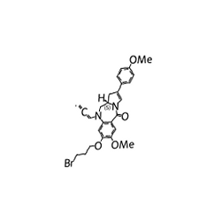 [CH]=C=CN1C[C@@H]2CC(c3ccc(OC)cc3)=CN2C(=O)c2cc(OC)c(OCCCBr)cc21